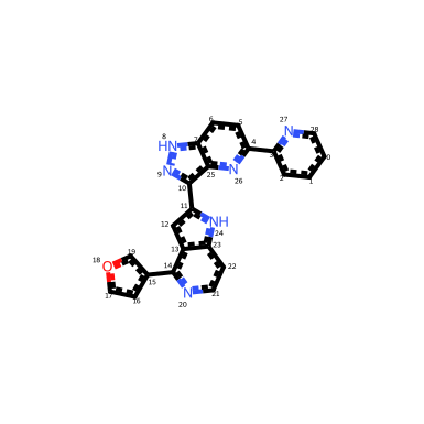 c1ccc(-c2ccc3[nH]nc(-c4cc5c(-c6ccoc6)nccc5[nH]4)c3n2)nc1